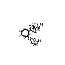 CC(=O)CC(=O)O.CC(=O)CC(=O)O.CC(=O)CC(=O)O.O=C1CCCCCO1